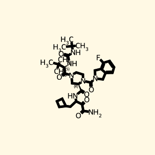 CC(C)(C)NC(=O)N[C@H](C(=O)N1CCN(C(=O)N2Cc3cccc(F)c3C2)[C@@H](C(=O)NC(CC2CCC2)C(=O)C(N)=O)C1)C(C)(C)C